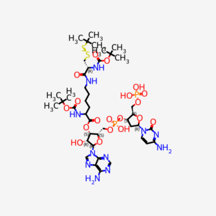 CC(C)(C)OC(=O)NC(CCCCNC(=O)[C@H](CSSC(C)(C)C)NC(=O)OC(C)(C)C)C(=O)O[C@H]1[C@@H](O)[C@H](n2cnc3c(N)ncnc32)O[C@H]1COP(=O)(O)O[C@H]1C[C@H](n2ccc(N)nc2=O)O[C@@H]1COP(=O)(O)O